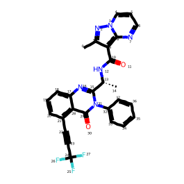 Cc1nn2cccnc2c1C(=O)N[C@H](C)c1nc2cccc(C#CC(F)(F)F)c2c(=O)n1-c1ccccc1